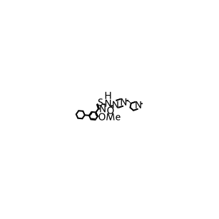 COc1ccc(C2CCCCC2)cc1-c1csc(NC(=O)N2CCN(C[C@@H]3CCCN(C)C3)CC2)n1